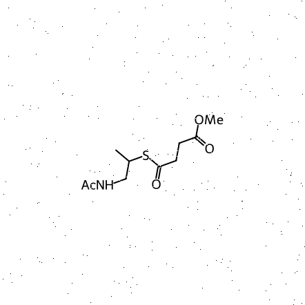 COC(=O)CCC(=O)SC(C)CNC(C)=O